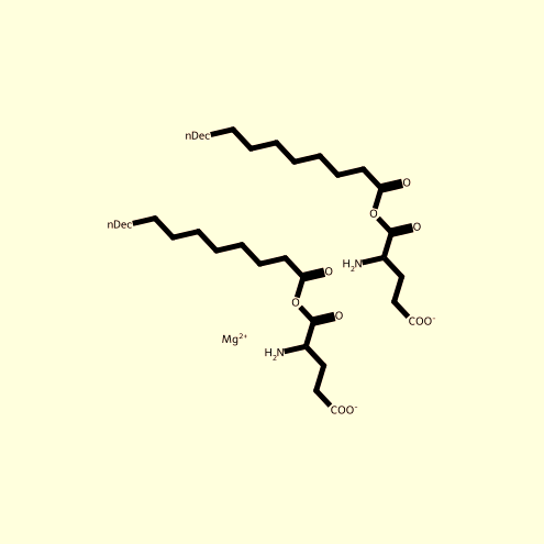 CCCCCCCCCCCCCCCCCC(=O)OC(=O)C(N)CCC(=O)[O-].CCCCCCCCCCCCCCCCCC(=O)OC(=O)C(N)CCC(=O)[O-].[Mg+2]